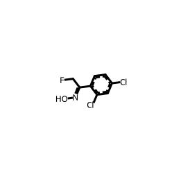 ON=C(CF)c1ccc(Cl)cc1Cl